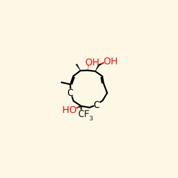 C/C1=C/[C@@H](C)[C@H](O)[C@@H](CO)/C=C/CCCCC(O)(C(F)(F)F)CC1